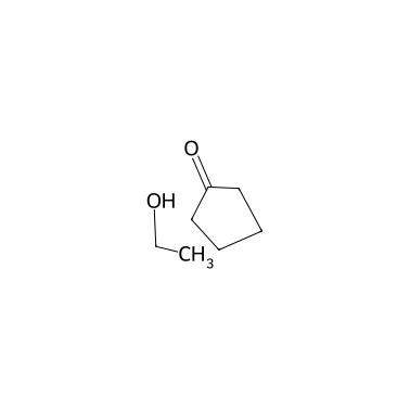 CCO.O=C1CCCC1